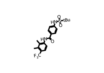 Cc1c(NC(=O)c2ccc(NS(=O)(=O)C(C)(C)C)cc2)ccc(C(F)(F)F)c1C